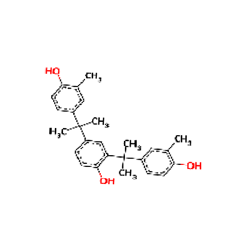 Cc1cc(C(C)(C)c2ccc(O)c(C(C)(C)c3ccc(O)c(C)c3)c2)ccc1O